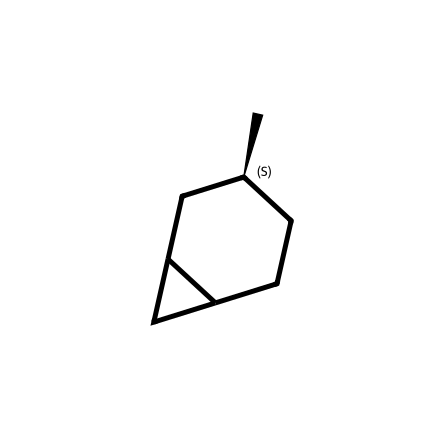 C[C@H]1CCC2CC2C1